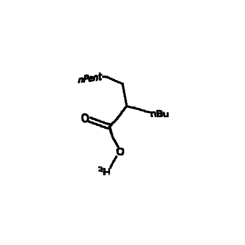 [2H]OC(=O)C(CCCC)CCCCCC